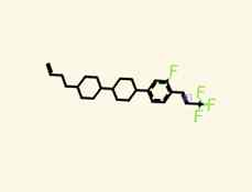 C=CCCC1CCC(C2CCC(c3ccc(/C=C/C(F)(F)F)c(F)c3)CC2)CC1